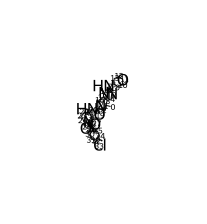 CC1(C)c2cnc(NC3CCOCC3)nc2CN1C(=O)N[C@@H]1CCCN(S(=O)(=O)c2ccc(Cl)cc2)C1